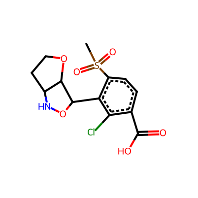 CS(=O)(=O)c1ccc(C(=O)O)c(Cl)c1C1ONC2CCOC21